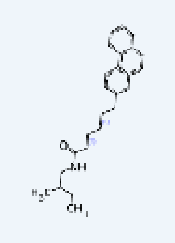 CCC(C)CNC(=O)/C=C/C=C/Cc1ccc2c(ccc3ccccc32)c1